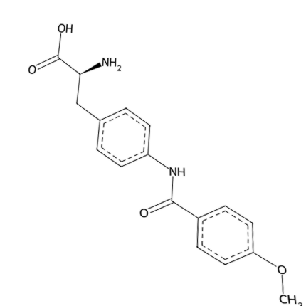 COc1ccc(C(=O)Nc2ccc(C[C@H](N)C(=O)O)cc2)cc1